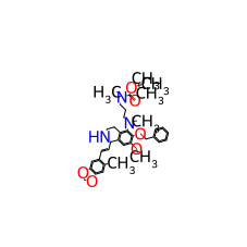 COc1cc2c(c(N(C)CCCN(C)C(=O)OC(C)(C)C)c1OCc1ccccc1)CCNC2/C=C/c1cc2c(cc1C)OCO2